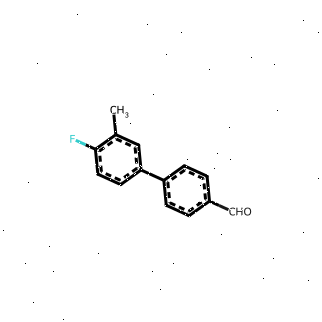 Cc1cc(-c2ccc(C=O)cc2)ccc1F